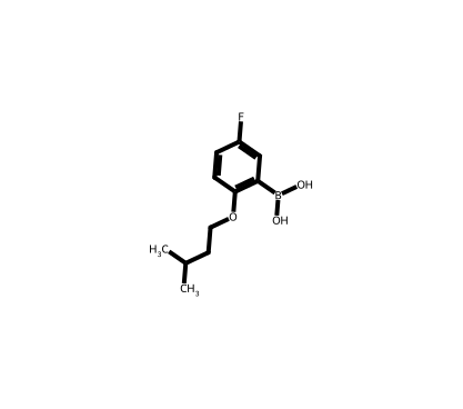 CC(C)CCOc1ccc(F)cc1B(O)O